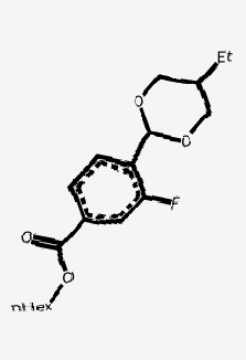 CCCCCCOC(=O)c1ccc(C2OCC(CC)CO2)c(F)c1